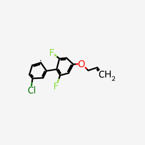 C=CCOc1cc(F)c(-c2[c]ccc(Cl)c2)c(F)c1